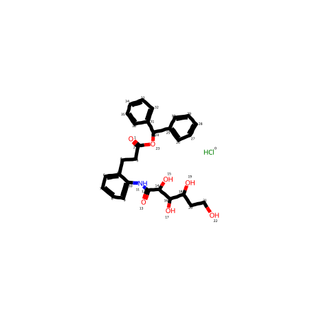 Cl.O=C(CCc1ccccc1NC(=O)C(O)C(O)C(O)CCO)OC(c1ccccc1)c1ccccc1